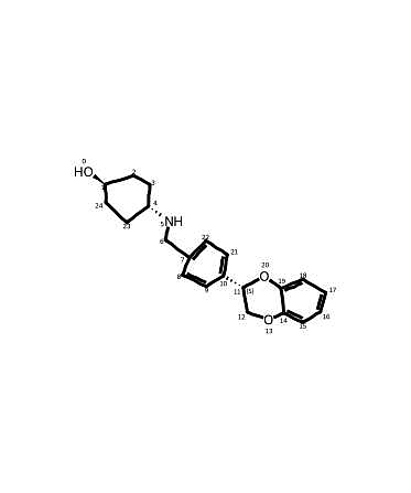 O[C@H]1CC[C@H](NCc2ccc([C@H]3COc4ccccc4O3)cc2)CC1